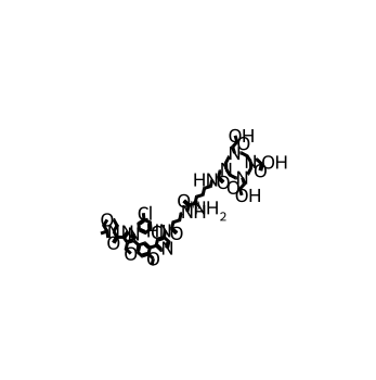 COc1cc2c(cc1-c1cncc(NC(=O)CCCNC(=O)[C@H](N)CCCCNC(=O)CN3CCN(CC(=O)O)CCN(CC(=O)O)CCN(CC(=O)O)CC3)c1)-c1c(c(C(=O)N3CCOCC3(C)C)nn1-c1cc(Cl)cc(Cl)c1)CO2